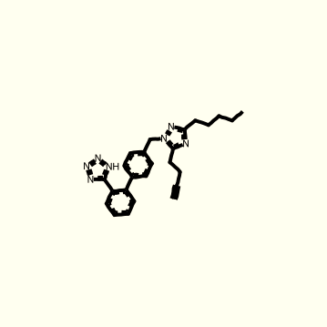 C#CCCc1nc(CCCCC)nn1Cc1ccc(-c2ccccc2-c2nnn[nH]2)cc1